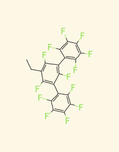 CCc1c(F)c(-c2c(F)c(F)c(F)c(F)c2F)c(F)c(-c2c(F)c(F)c(F)c(F)c2F)c1F